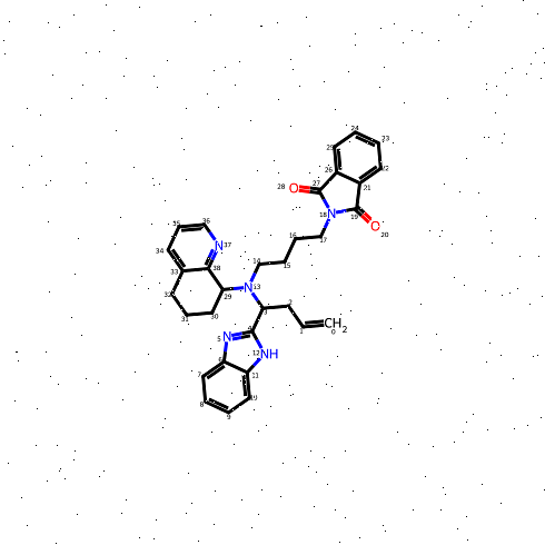 C=CCC(c1nc2ccccc2[nH]1)N(CCCCN1C(=O)c2ccccc2C1=O)C1CCCc2cccnc21